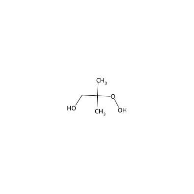 CC(C)(CO)OO